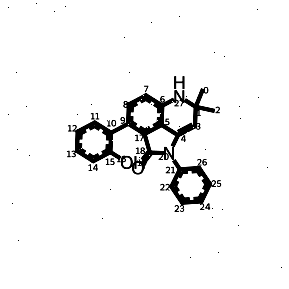 CC1(C)C=C2c3c(ccc(-c4ccccc4O)c3C(=O)N2c2ccccc2)N1